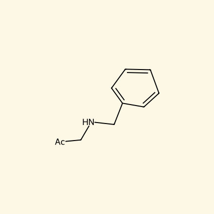 CC(=O)CNCc1ccccc1